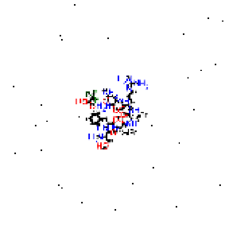 CC(C)C[C@H](NC(=O)[C@H](CC(C)C)NC(=O)[C@H](Cc1ccccc1)NC(=O)[C@@H](N)CO)C(=O)N[C@@H](CCCN=C(N)N)C(=O)N[C@@H](CC(N)=O)C(N)=O.O=C(O)C(F)(F)F